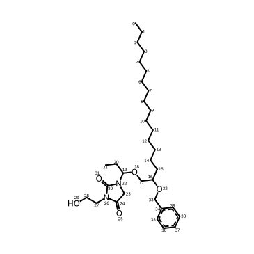 CCCCCCCCCCCCCCCCC(COC(CC)N1CC(=O)N(CCO)C1=O)OCc1ccccc1